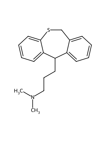 CN(C)CCCC1c2ccccc2CSc2ccccc21